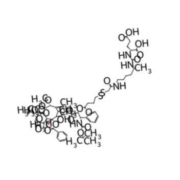 CO[C@H]1C(=O)[C@]2(C)[C@@H](OC)C[C@H]3OC[C@@]3(OC(C)=O)[C@H]2[C@@](C)(OC(=O)c2ccccc2)[C@]2(O)C[C@H](OC(=O)[C@H](OC(=O)CCCSSCC(=O)NCCCC[C@@H](C)NC(=O)N[C@@H](CCC(=O)O)C(=O)O)[C@@H](NC(=O)OC(C)(C)C)c3ccccc3)C(C)=C1C2(C)C